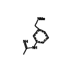 CNCc1cccc(NC(C)=N)c1